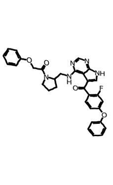 O=C(c1ccc(Oc2ccccc2)cc1F)c1c[nH]c2ncnc(NCC3CCCN3C(=O)COc3ccccc3)c12